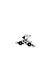 CC(C)Oc1ccc(/N=c2\[nH]c(=O)n([C@H]3C[C@@H]3C(=O)O)c(=O)n2Cc2ccc(Cl)cc2)cc1F